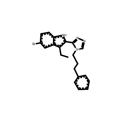 CCc1c(C2=NN=C[SH]2CCCc2ccccc2)[nH]c2ccc(Br)cc12